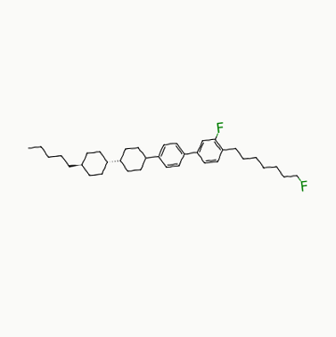 CCCCC[C@H]1CC[C@H](C2CCC(c3ccc(-c4ccc(CCCCCCCF)c(F)c4)cc3)CC2)CC1